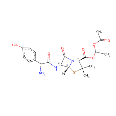 CC(=O)OC(C)OC(=O)[C@@H]1N2C(=O)[C@@H](NC(=O)C(N)c3ccc(O)cc3)[C@H]2SC1(C)C